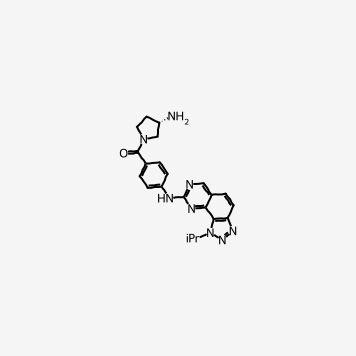 CC(C)n1nnc2ccc3cnc(Nc4ccc(C(=O)N5CC[C@H](N)C5)cc4)nc3c21